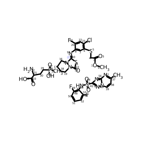 COC(=O)CSc1cc(/N=c2\sc(=O)n3n2CCCC3)c(F)cc1Cl.CP(=O)(O)CCC(N)C(=O)O.Cc1ccn2nc(S(=O)(=O)Nc3c(F)cccc3F)nc2n1